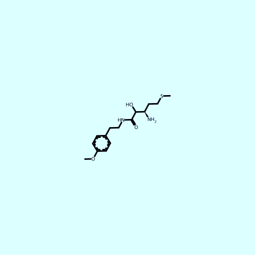 COc1ccc(CCNC(=O)C(O)[C@H](N)CCSC)cc1